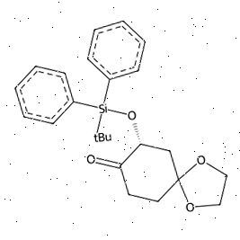 CC(C)(C)[Si](O[C@@H]1CC2(CCC1=O)OCCO2)(c1ccccc1)c1ccccc1